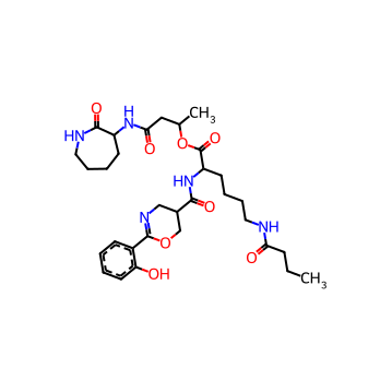 CCCC(=O)NCCCCC(NC(=O)C1CN=C(c2ccccc2O)OC1)C(=O)OC(C)CC(=O)NC1CCCCNC1=O